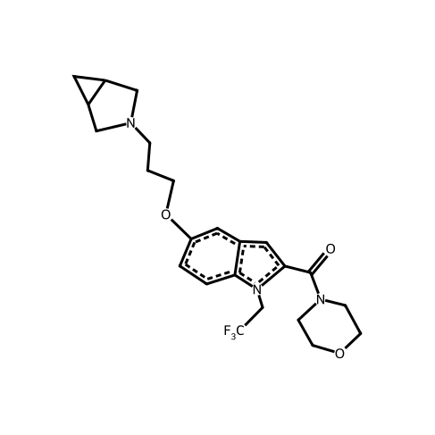 O=C(c1cc2cc(OCCCN3CC4CC4C3)ccc2n1CC(F)(F)F)N1CCOCC1